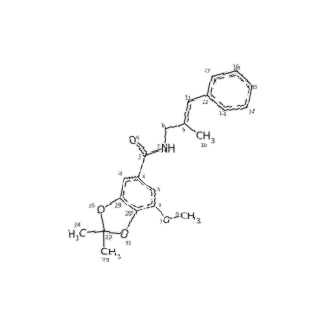 COc1cc(C(=O)NC/C(C)=C/c2ccccc2)cc2c1OC(C)(C)O2